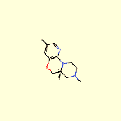 Cc1cnc2c(c1)OC[C@H]1CN(C)CCN21